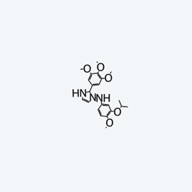 COc1ccc(NN2C=CNC2c2cc(OC)c(OC)c(OC)c2)cc1OC(C)C